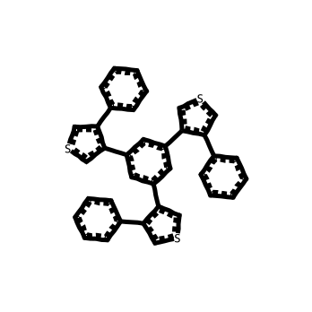 c1ccc(-c2cscc2-c2cc(-c3cscc3-c3ccccc3)cc(-c3cscc3-c3ccccc3)c2)cc1